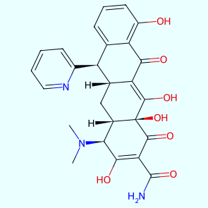 CN(C)[C@@H]1C(O)=C(C(N)=O)C(=O)[C@@]2(O)C(O)=C3C(=O)c4c(O)cccc4[C@H](c4ccccn4)[C@H]3C[C@@H]12